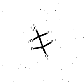 CC([O])(F)C([O])(F)F